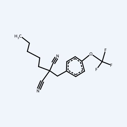 CCCCCC(C#N)(C#N)Cc1ccc(OC(F)(F)F)cc1